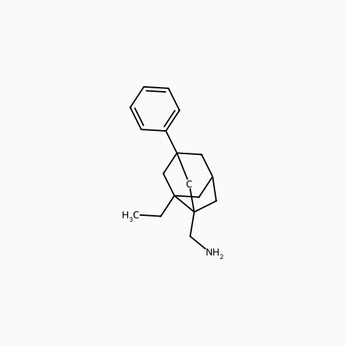 CCC12CC3CC(c4ccccc4)(C1)CC2(CN)C3